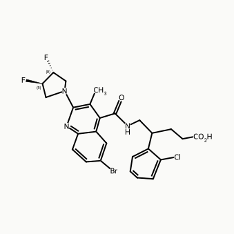 Cc1c(N2C[C@@H](F)[C@H](F)C2)nc2ccc(Br)cc2c1C(=O)NCC(CCC(=O)O)c1ccccc1Cl